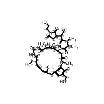 C/C1=C\C=C\[C@@H](CO)[C@@]2(O)C[C@H](OC(=O)N2)[C@@H](C)[C@@H]2O[C@@]2(C)[C@@H](OC(=O)[C@H](C)N(C)C(=O)C(CS)C2CC(=O)N(CCO)C2=O)CC(=O)N(C)c2cc(cc(CO)c2Cl)C1